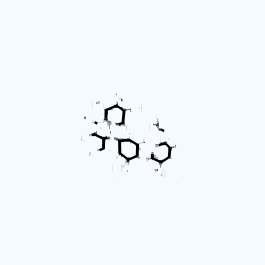 CCNC[C@H]1O[C@H](O[C@H]2[C@H](O)[C@@H](O[C@H]3O[C@H](CO)[C@@H](O)[C@H](N)[C@H]3O)[C@H](NC(CO)CO)C[C@@H]2N)[C@H](N)C[C@@H]1O